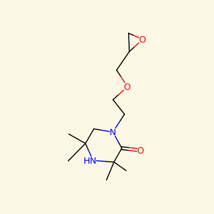 CC1(C)CN(CCOCC2CO2)C(=O)C(C)(C)N1